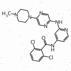 CN1CCN(c2cnc(Nc3cc(NC(=O)c4c(Cl)cccc4Cl)ccn3)cn2)CC1